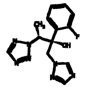 C[C@@H](n1ncnn1)[C@](O)(Cn1cncn1)c1ccccc1F